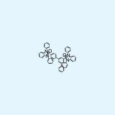 O=P1(c2ccc(-c3cc(-c4ccccc4)cc(P4(=O)N(c5ccccc5)c5ccccc5N4c4ccccc4)c3)cc2)N(c2ccccc2)c2ccccc2N1c1ccccc1